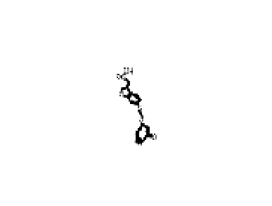 O=S(O)CC1COc2cc(OCCOc3cccc(Cl)c3)ccc21